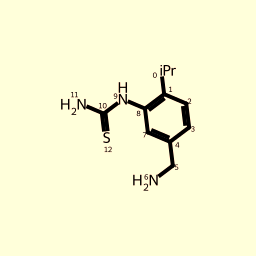 CC(C)c1ccc(CN)cc1NC(N)=S